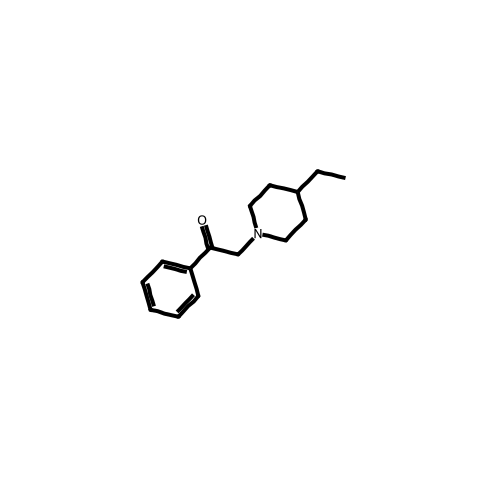 CCC1CCN(CC(=O)c2ccccc2)CC1